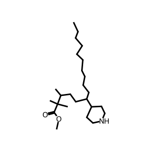 CCCCCCCCCCC(CCC(C)C(C)(C)C(=O)OC)C1CCNCC1